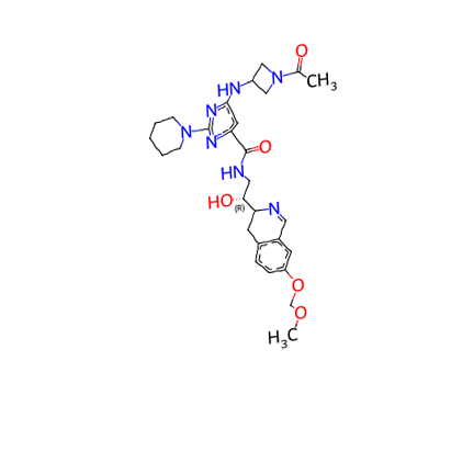 COCOc1ccc2c(c1)C=NC([C@H](O)CNC(=O)c1cc(NC3CN(C(C)=O)C3)nc(N3CCCCC3)n1)C2